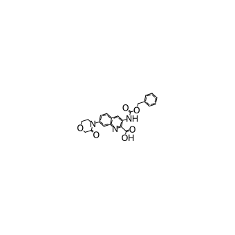 O=C(Nc1cc2ccc(N3CCOCC3=O)cc2nc1C(=O)O)OCc1ccccc1